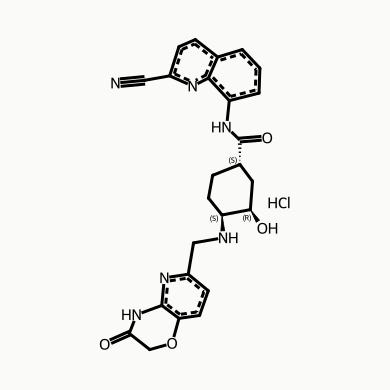 Cl.N#Cc1ccc2cccc(NC(=O)[C@H]3CC[C@H](NCc4ccc5c(n4)NC(=O)CO5)[C@H](O)C3)c2n1